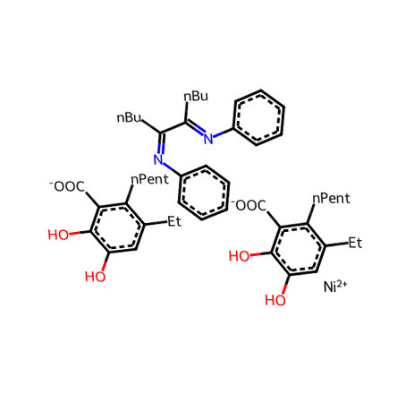 CCCCC(=Nc1ccccc1)C(CCCC)=Nc1ccccc1.CCCCCc1c(CC)cc(O)c(O)c1C(=O)[O-].CCCCCc1c(CC)cc(O)c(O)c1C(=O)[O-].[Ni+2]